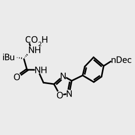 CCCCCCCCCCc1ccc(-c2noc(CNC(=O)[C@@H](NC(=O)O)[C@@H](C)CC)n2)cc1